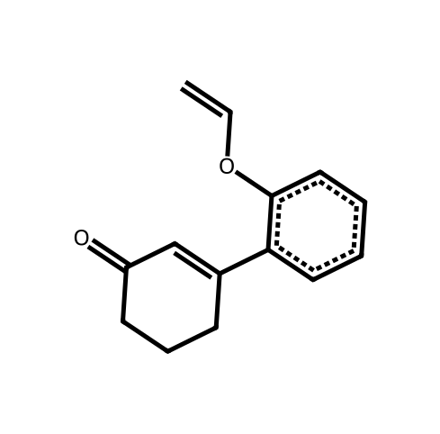 C=COc1ccccc1C1=CC(=O)CCC1